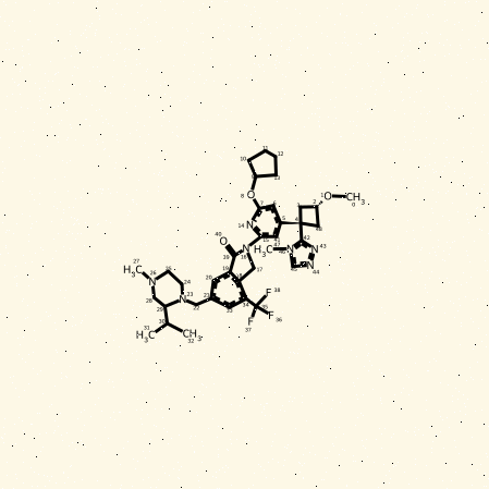 CO[C@H]1C[C@@](c2cc(OC3CCCC3)nc(N3Cc4c(cc(CN5CCN(C)CC5C(C)C)cc4C(F)(F)F)C3=O)c2)(c2nncn2C)C1